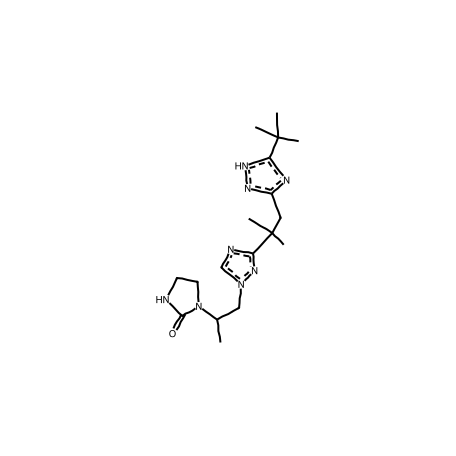 CC(Cn1cnc(C(C)(C)Cc2n[nH]c(C(C)(C)C)n2)n1)N1CCNC1=O